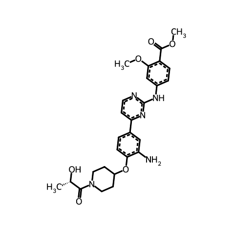 COC(=O)c1ccc(Nc2nccc(-c3ccc(OC4CCN(C(=O)[C@H](C)O)CC4)c(N)c3)n2)cc1OC